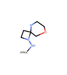 CCCCCCNN1CCC12COCC[N]2